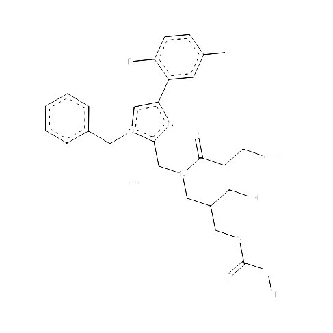 CC(C)(C)OC(=O)NCC(CO)CN(C(=O)CCC(=O)O)[C@@H](c1nc(-c2cc(F)ccc2F)cn1Cc1ccccc1)C(C)(C)C